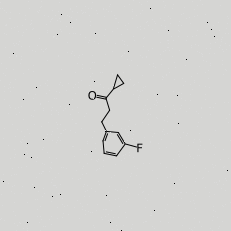 O=C(CCc1cccc(F)c1)C1CC1